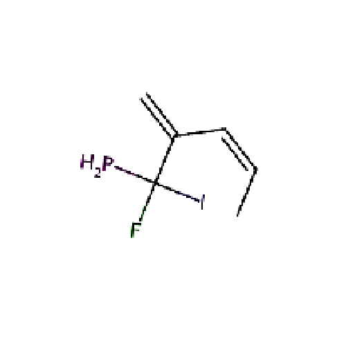 C=C(/C=C\C)C(F)(P)I